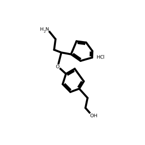 Cl.NCCC(Oc1ccc(CCO)cc1)c1ccccc1